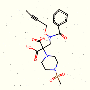 CC#CCON(CC(C(=O)O)(C(=O)O)N1CCN(S(C)(=O)=O)CC1)C(=O)c1ccccc1